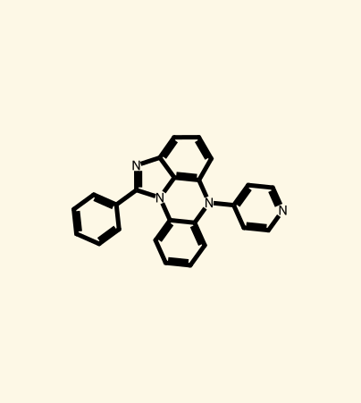 c1ccc(-c2nc3cccc4c3n2-c2ccccc2N4c2ccncc2)cc1